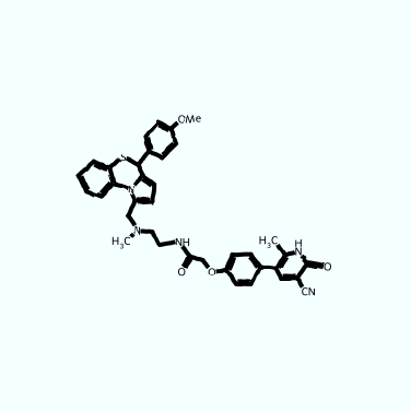 COc1ccc(C2Sc3ccccc3-n3c(CN(C)CCNC(=O)COc4ccc(-c5cc(C#N)c(=O)[nH]c5C)cc4)ccc32)cc1